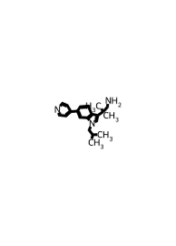 CC(C)Cn1cc(C(C)(C)CN)c2ccc(-c3ccncc3)cc21